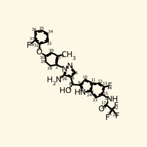 CC1=C(n2ncc([C@H](O)c3cc4cc(F)c(NC(=O)C(F)(F)F)cc4[nH]3)c2N)CCC(Oc2ccccc2F)=C1